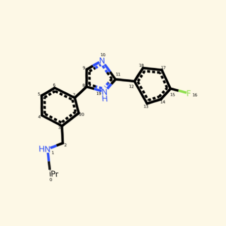 CC(C)NCc1cccc(-c2cnc(-c3ccc(F)cc3)[nH]2)c1